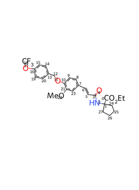 CCOC(=O)C1(NC(=O)C=Cc2ccc(OCc3ccc(OC(F)(F)F)cc3)c(OC)c2)CCCC1